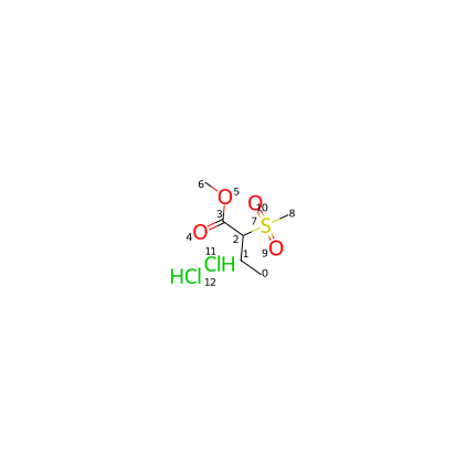 CCC(C(=O)OC)S(C)(=O)=O.Cl.Cl